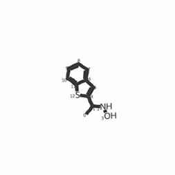 CC(NO)c1cc2ccccc2s1